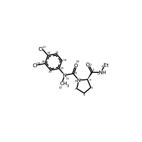 CCNC(=O)[C@H]1CCCN1C(=O)N(C)c1ccc(Cl)c(Cl)c1